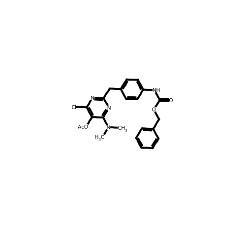 CC(=O)Oc1c(Cl)nc(Cc2ccc(NC(=O)OCc3ccccc3)cc2)nc1N(C)C